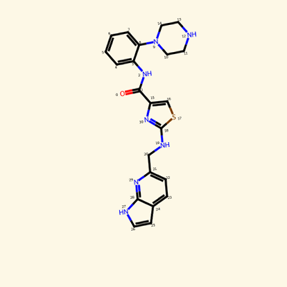 O=C(Nc1ccccc1N1CCNCC1)c1csc(NCc2ccc3cc[nH]c3n2)n1